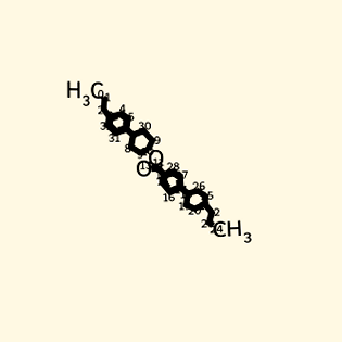 CCCc1ccc(C2CCC(OC(=O)c3ccc(C4CCC(CCC)CC4)cc3)CC2)cc1